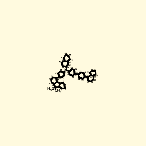 CC1(C)c2ccccc2-c2c(-c3ccc(N(c4ccc(-c5ccc(-c6cccc7ccccc67)cc5)cc4)c4ccc5ccccc5c4)cc3)cccc21